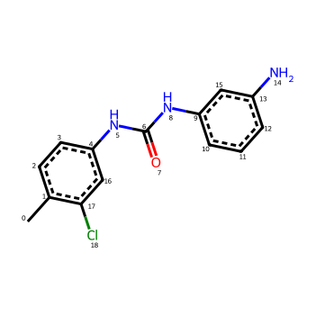 Cc1ccc(NC(=O)Nc2cccc(N)c2)cc1Cl